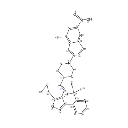 O=C(O)c1cc(F)c2cc(N3CCC(/C=C/c4c(-c5cccnc5C(F)(F)F)noc4C4CC4)CC3)ccc2n1